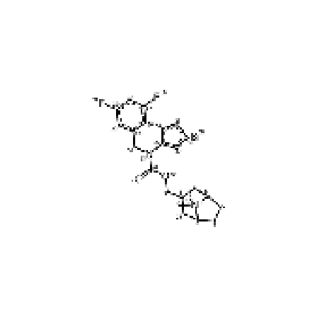 C[N+]1(C)C2CCC1CC(COC(=O)N(Cc1cc(F)cc(F)c1)c1ccsc1)C2.[Br-]